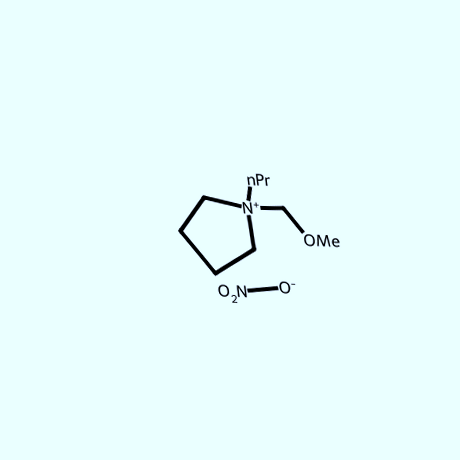 CCC[N+]1(COC)CCCC1.O=[N+]([O-])[O-]